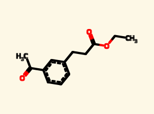 CCOC(=O)CCc1cccc(C(C)=O)c1